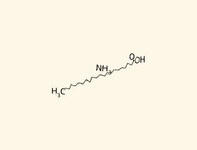 CCCCCCCCCCCCCCCCCCCCCC(=O)O.N